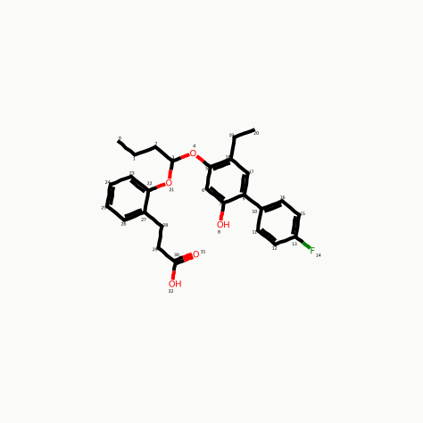 CCCC(Oc1cc(O)c(-c2ccc(F)cc2)cc1CC)Oc1ccccc1CCC(=O)O